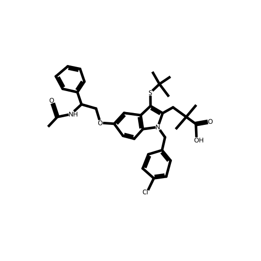 CC(=O)NC(COc1ccc2c(c1)c(SC(C)(C)C)c(CC(C)(C)C(=O)O)n2Cc1ccc(Cl)cc1)c1ccccc1